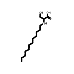 CCCCCCCCCCCCNC(CS)C(=O)O